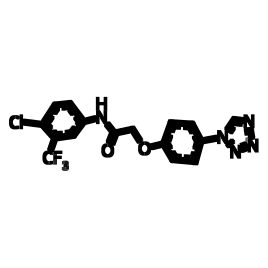 O=C(COc1ccc(-n2cnnn2)cc1)Nc1ccc(Cl)c(C(F)(F)F)c1